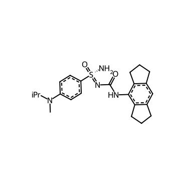 CC(C)N(C)c1ccc([S@@](N)(=O)=NC(=O)Nc2c3c(cc4c2CCC4)CCC3)cc1